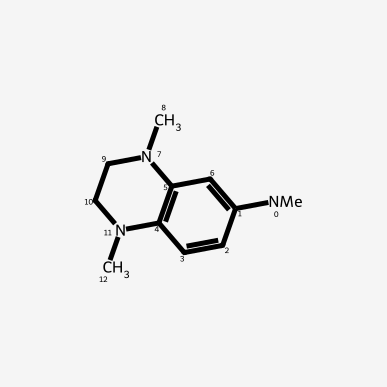 CNc1ccc2c(c1)N(C)CCN2C